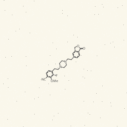 COc1c(C#N)ccc(CCN2CCN(CCc3ccc4c(c3)COC4=O)CC2)c1F